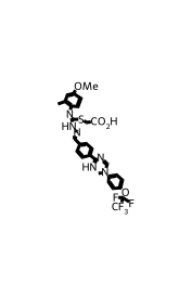 COc1ccc(/N=C(/N/N=C/c2ccc(C(=N)/N=C\N(C)c3ccc(OC(F)(F)C(F)(F)F)cc3)cc2)SCC(=O)O)c(C)c1